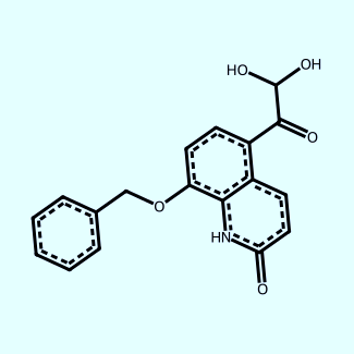 O=C(c1ccc(OCc2ccccc2)c2[nH]c(=O)ccc12)C(O)O